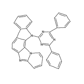 c1ccc(-c2nc(-c3ccccc3)nc(-n3c4ccccc4c4ccc5nc6ccccn6c5c43)n2)cc1